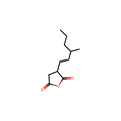 CCCC(C)/C=C/C1CC(=O)OC1=O